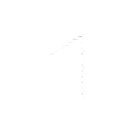 [CH2]C(CCCCCCCCCCCCC)CCCCCCCCCCCCCCCCCCCCCC